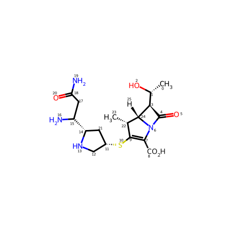 C[C@@H](O)[C@H]1C(=O)N2C(C(=O)O)=C(S[C@@H]3CN[C@H](C(N)CC(N)=O)C3)[C@H](C)[C@H]12